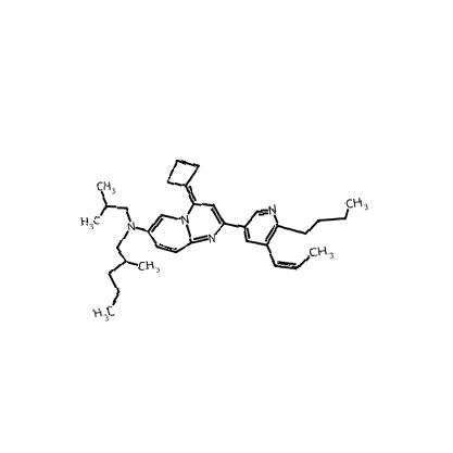 C/C=C\c1cc(C2=CC(=C3CCC3)N3C=C(N(CC(C)C)CC(C)CCC)C=CC3=N2)cnc1CCCC